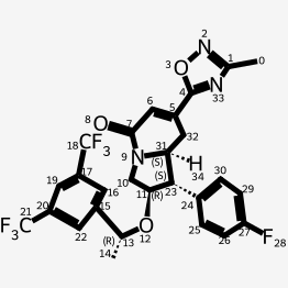 Cc1noc(C2=CC(=O)N3C[C@H](O[C@H](C)c4cc(C(F)(F)F)cc(C(F)(F)F)c4)[C@@H](c4ccc(F)cc4)[C@@H]3C2)n1